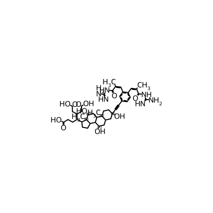 CC(=Cc1ccc(C#C[C@@]2(O)CC[C@@]3(C)C(C[C@@H](O)C4C3C[C@H](O)[C@]3(C)C(C(CCC(=O)O)C(CC(=O)O)CC(=O)O)CCC43)C2)cc1C=C(C)C(=O)NC(=N)N)C(=O)NC(=N)N